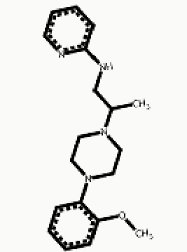 COc1ccccc1N1CCN(C(C)CNc2ccccn2)CC1